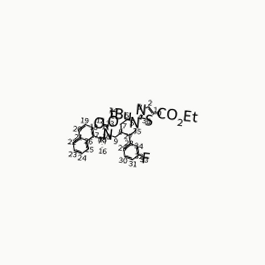 CCOC(=O)c1cnc(N2CCC(CN(C(=O)OC(C)(C)C)[C@H](C)c3cccc4ccccc34)C(c3cccc(F)c3)C2)s1